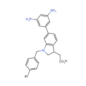 CC(C)c1ccc(CN2CC(CC(=O)O)c3ccc(-c4cc(N)cc(N)c4)cc32)cc1